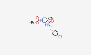 CC(C)(C)OC(=O)N1CCC(C#N)(C(=O)NCCc2ccc(Cl)cc2)CC1